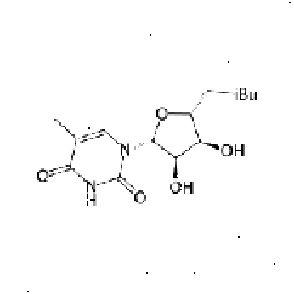 CCC(C)C[C@H]1O[C@@H](n2cc(C)c(=O)[nH]c2=O)[C@H](O)[C@@H]1O